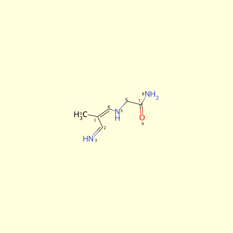 C/C(C=N)=C/NCC(N)=O